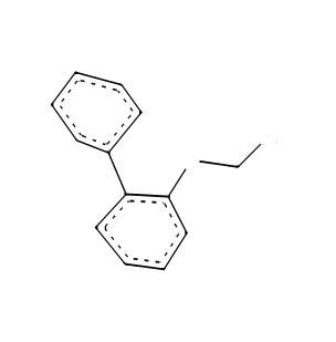 CCC(C)COc1ccccc1-c1ccccc1